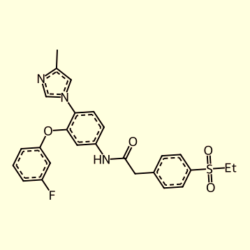 CCS(=O)(=O)c1ccc(CC(=O)Nc2ccc(-n3cnc(C)c3)c(Oc3cccc(F)c3)c2)cc1